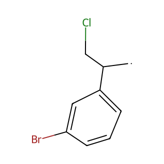 [CH2]C(CCl)c1cccc(Br)c1